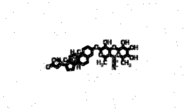 CC1OC(OC2C(O)C(OC3CCC4(C)C(CC[C@@H]5C4CCC4(C)C(C6=CC(=O)OC6)CCC54O)C3)OC(C)C2N=[N+]=[N-])C(O)C(O)C1O